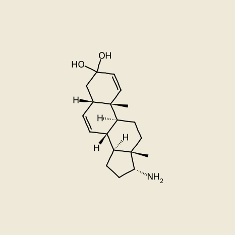 C[C@]12C=CC(O)(O)C[C@H]1C=C[C@@H]1[C@@H]2CC[C@]2(C)[C@H](N)CC[C@@H]12